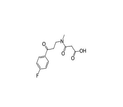 CN(CCC(=O)c1ccc(F)cc1)C(=O)CC(=O)O